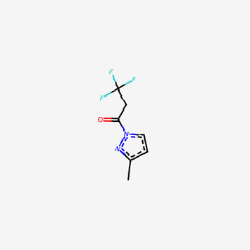 Cc1ccn(C(=O)CC(F)(F)F)n1